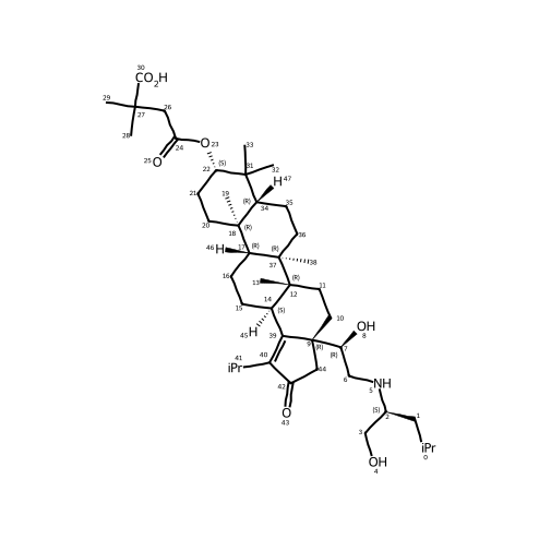 CC(C)C[C@@H](CO)NC[C@H](O)[C@@]12CC[C@]3(C)[C@H](CC[C@@H]4[C@@]5(C)CC[C@H](OC(=O)CC(C)(C)C(=O)O)C(C)(C)[C@@H]5CC[C@]43C)C1=C(C(C)C)C(=O)C2